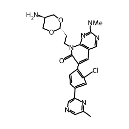 CNc1ncc2cc(-c3ccc(-c4cncc(C)n4)cc3Cl)c(=O)n(CC[C@H]3OC[C@H](N)CO3)c2n1